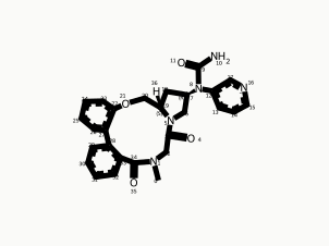 CN1CC(=O)N2C[C@H](N(C(N)=O)c3cccnc3)C[C@H]2COc2ccccc2-c2ccccc2C1=O